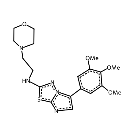 COc1cc(-c2cnc3sc(NCCN4CCOCC4)nn23)cc(OC)c1OC